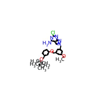 COc1cc(COc2cccc(CO[Si](C)(C)C(C)(C)C)c2)cc(Cn2cc3c(N)nc(Cl)nc3n2)c1